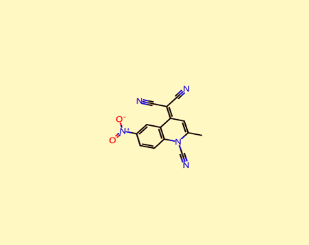 CC1=CC(=C(C#N)C#N)c2cc([N+](=O)[O-])ccc2N1C#N